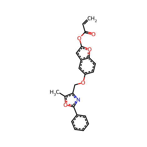 C=CC(=O)Oc1cc2cc(OCc3nc(-c4ccccc4)oc3C)ccc2o1